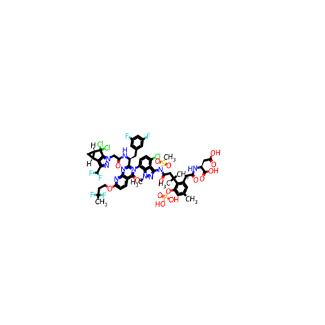 Cc1cc(CC(=O)N[C@@H](CC(=O)O)C(=O)O)c(C(C)(C)CC(=O)N(c2nn(C)c3c(-n4c([C@H](Cc5cc(F)cc(F)c5)NC(=O)Cn5nc(C(F)F)c6c5C(Cl)(Cl)[C@@H]5C[C@H]65)nc5nc(OCCC(C)(F)F)ccc5c4=O)ccc(Cl)c23)S(C)(=O)=O)c(OP(=O)(O)O)c1